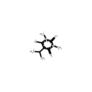 CC(C)c1c(Cl)n(C)c(=O)n(C)c1=O